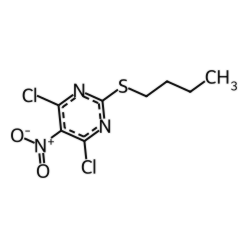 CCCCSc1nc(Cl)c([N+](=O)[O-])c(Cl)n1